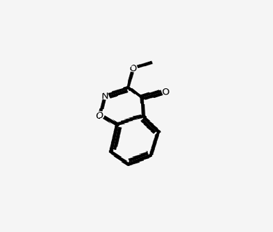 COc1noc2ccccc2c1=O